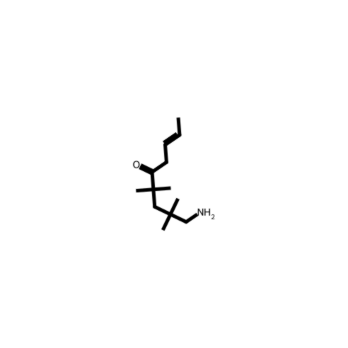 CC=CCC(=O)C(C)(C)CC(C)(C)CN